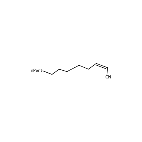 CCCCCCCCCC/C=C\C#N